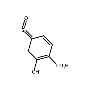 O=S=C1C=CC(C(=O)O)=C(O)C1